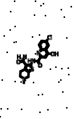 CN1CCc2c(sc(NC(=O)c3cc(O)c4cc(Cl)ccc4n3)c2C(N)=O)C1